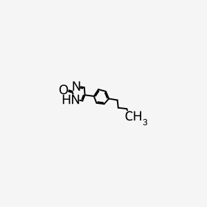 CCCCc1ccc(-c2cnc(=O)[nH]c2)cc1